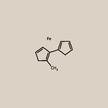 CC1=C(C2=CC=CC2)C=CC1.[Fe]